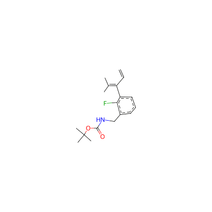 C=CC(=C(C)C)c1cccc(CNC(=O)OC(C)(C)C)c1F